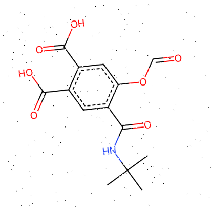 CC(C)(C)NC(=O)c1cc(C(=O)O)c(C(=O)O)cc1OC=O